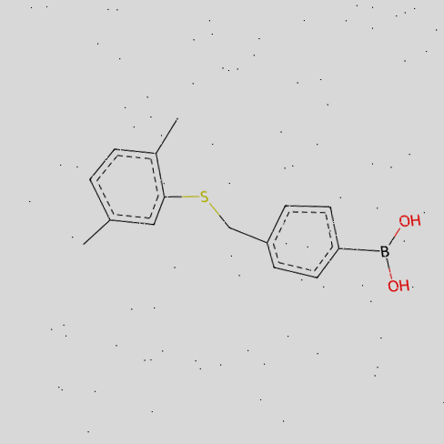 Cc1ccc(C)c(SCc2ccc(B(O)O)cc2)c1